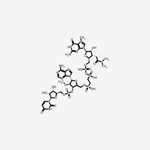 CO[C@@H]1[C@H](OP(=O)([O-])OC[C@H]2O[C@@H](n3ccc(=O)[nH]c3=O)[C@H](O)[C@@H]2O)C(COP(=O)(O)CCP(=O)(O)OP(=O)(O)OC[C@H]2O[C@@H](n3c[n+](C)c4c(=O)[nH]c(N)nc43)[C@H](O)[C@@H]2CC(=O)N(C)C)O[C@H]1n1cnc2c(N)ncnc21